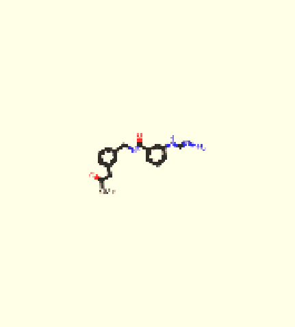 COC(=O)Cc1cccc(CNC(=O)c2cccc(NC=NN)c2)c1